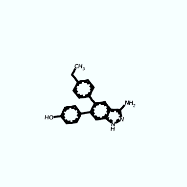 CCc1ccc(-c2cc3c(N)n[nH]c3cc2-c2ccc(O)cc2)cc1